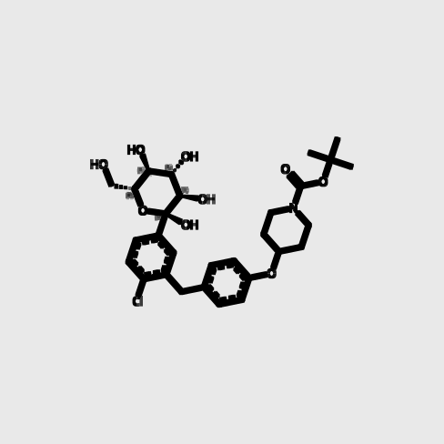 CC(C)(C)OC(=O)N1CCC(Oc2ccc(Cc3cc([C@]4(O)O[C@H](CO)[C@@H](O)[C@H](O)[C@H]4O)ccc3Cl)cc2)CC1